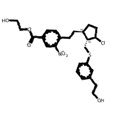 O=C(OCCO)c1ccc(CC[C@H]2CCC(Cl)[C@@H]2CSc2cccc(CCO)c2)c([N+](=O)[O-])c1